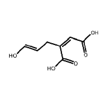 O=C(O)C=C(CC=CO)C(=O)O